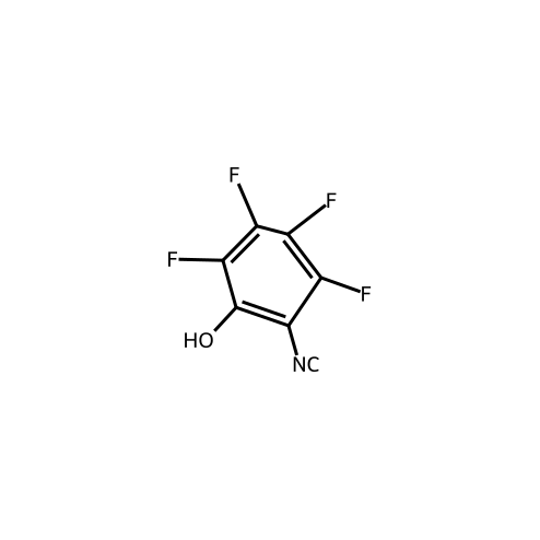 [C-]#[N+]c1c(O)c(F)c(F)c(F)c1F